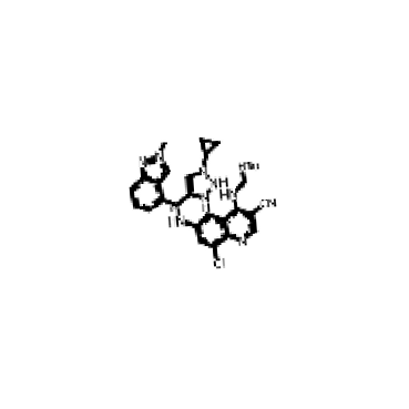 Cn1cc2c([C@H](Nc3cc(Cl)c4ncc(C#N)c(NCC(C)(C)C)c4c3)C3=CN(C4CC4)NN3)cccc2n1